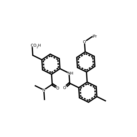 Cc1ccc(C(=O)Nc2ccc(CC(=O)O)cc2C(=O)N(C)C)c(-c2ccc(OC(C)C)cc2)c1